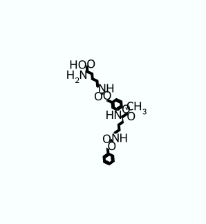 COC(=O)[C@@H](CCCCNC(=O)OCc1ccccc1)Nc1cccc(COC(=O)NCCCC[C@@H](N)C(=O)O)c1